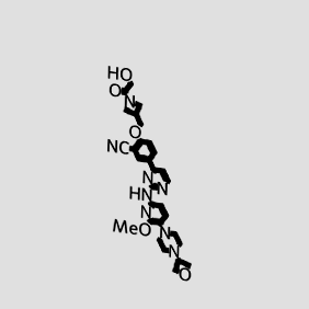 COc1nc(Nc2nccc(-c3ccc(OCC4CN(C(=O)CO)C4)c(C#N)c3)n2)ccc1N1CCN(C2COC2)CC1